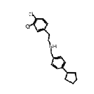 Clc1ccc(CCNCc2ccc(C3CCCC3)cc2)cc1Cl